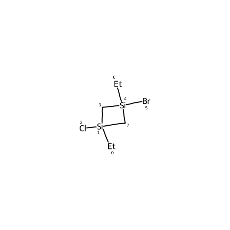 CC[Si]1(Cl)C[Si](Br)(CC)C1